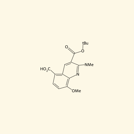 CNc1nc2c(OC)ccc(C(=O)O)c2cc1C(=O)OC(C)(C)C